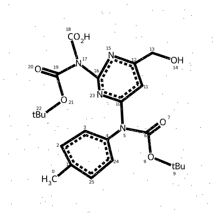 Cc1ccc(N(C(=O)OC(C)(C)C)c2cc(CO)nc(N(C(=O)O)C(=O)OC(C)(C)C)n2)cc1